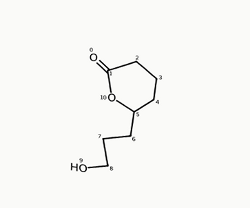 O=C1CCCC(CCCO)O1